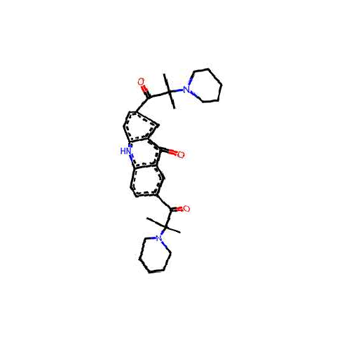 CC(C)(C(=O)c1ccc2[nH]c3ccc(C(=O)C(C)(C)N4CCCCC4)cc3c(=O)c2c1)N1CCCCC1